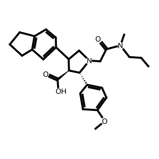 CCCN(C)C(=O)CN1CC(c2ccc3c(c2)CCC3)[C@H](C(=O)O)[C@H]1c1ccc(OC)cc1